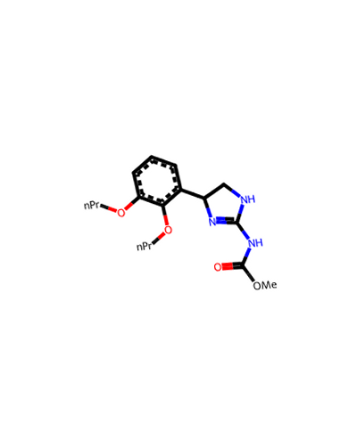 CCCOc1cccc(C2CNC(NC(=O)OC)=N2)c1OCCC